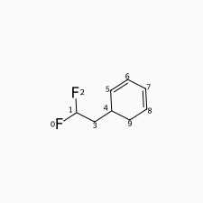 FC(F)CC1C=CC=CC1